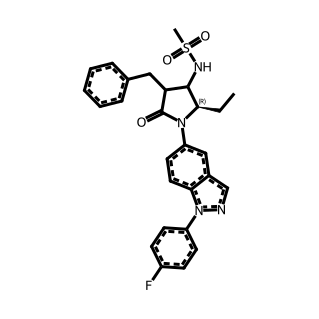 CC[C@@H]1C(NS(C)(=O)=O)C(Cc2ccccc2)C(=O)N1c1ccc2c(cnn2-c2ccc(F)cc2)c1